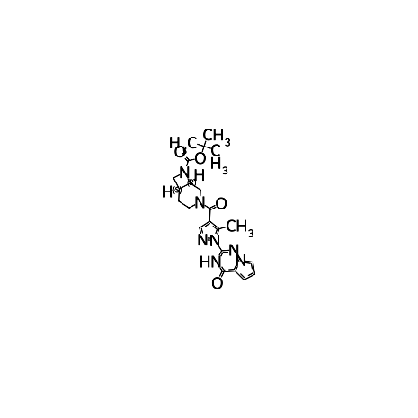 Cc1c(C(=O)N2CC[C@H]3CN(C(=O)OC(C)(C)C)[C@H]3C2)cnn1-c1nn2cccc2c(=O)[nH]1